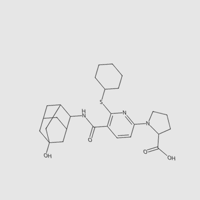 O=C(NC1C2CC3CC1CC(O)(C3)C2)c1ccc(N2CCCC2C(=O)O)nc1SC1CCCCC1